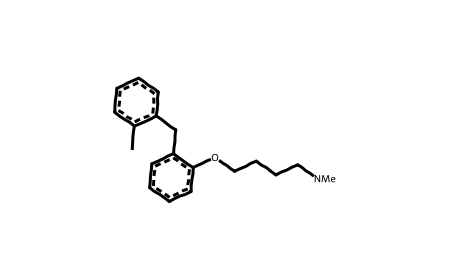 CNCCCCOc1ccccc1Cc1ccccc1C